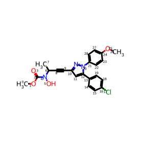 COC(=O)N(O)C(C)C#Cc1cc(-c2ccc(Cl)cc2)n(-c2ccc(OC)cc2)n1